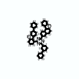 c1ccc(-c2cccc(-c3nc(-c4ccc5c(ccc6oc7ccccc7c65)c4)nc(-c4cccc5oc6cc(-c7ccccc7)ccc6c45)n3)c2)cc1